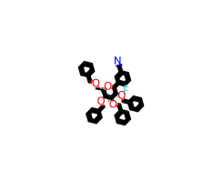 N#Cc1ccc(F)c(C2O[C@H](COCc3ccccc3)[C@@H](OCc3ccccc3)[C@H](OCc3ccccc3)[C@H]2OCc2ccccc2)c1